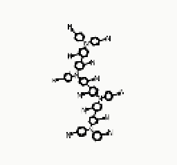 N#Cc1ccc(N(c2ccc(C#N)cc2)c2ccc(-c3ccc(N(c4ccc(C#N)cc4)c4ccc(-c5ccc(N(c6ccc(C#N)cc6)c6ccc(-c7ccc(N(c8ccc(C#N)cc8)c8cccc(C#N)c8)cc7C#N)c(C#N)c6)cc5C#N)c(C#N)c4)cc3C#N)c(C#N)c2)cc1